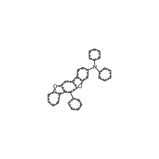 c1ccc(-c2c3oc4cc(N(c5ccccc5)c5ccccc5)ccc4c3cc3oc4ccccc4c23)cc1